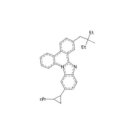 CCCC1CC1c1ccc2nc3c4cc(CC(C)(CC)CC)ccc4c4ccccc4n3c2c1